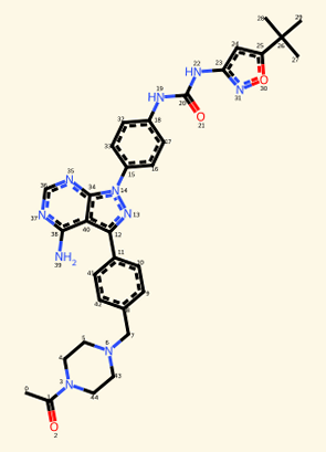 CC(=O)N1CCN(Cc2ccc(-c3nn(-c4ccc(NC(=O)Nc5cc(C(C)(C)C)on5)cc4)c4ncnc(N)c34)cc2)CC1